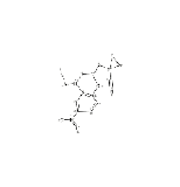 N#CC1(CC2CN(SI)c3cc([N+](=O)[O-])ccc3O2)CC1